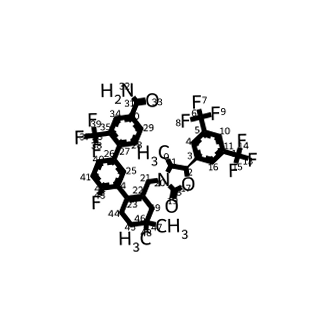 CC1[C@@H](c2cc(C(F)(F)F)cc(C(F)(F)F)c2)OC(=O)N1CC1=C(c2cc(-c3ccc(C(N)=O)cc3C(F)(F)F)ccc2F)CCC(C)(C)C1